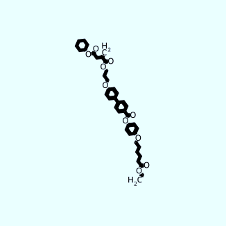 C=COC(=O)CCCCCOc1ccc(OC(=O)c2ccc(-c3ccc(OCCCOC(=O)C(=C)CC(=O)OC4CCCCC4)cc3)cc2)cc1